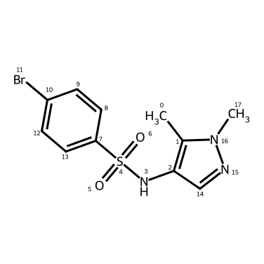 Cc1c(NS(=O)(=O)c2ccc(Br)cc2)cnn1C